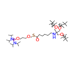 CC(C)N(C(C)C)P(OCCCOCSC(=O)CCCCCNC(CO[Si](C)(C)C(C)(C)C)(CO[Si](C)(C)C(C)(C)C)CO[Si](C)(C)C(C)(C)C)N(C(C)C)C(C)C